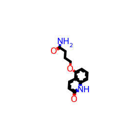 NC(=O)CCCOc1cccc2[nH]c(=O)ccc12